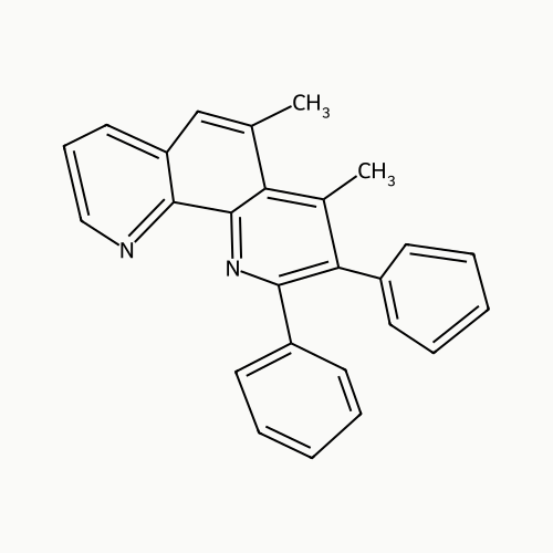 Cc1cc2cccnc2c2nc(-c3ccccc3)c(-c3ccccc3)c(C)c12